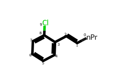 CCC/C=C/c1ccccc1Cl